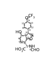 O=CN[C@H](C(=O)O)c1ncc(O)c2c(-c3ccc(OC(F)(F)F)cc3)noc12